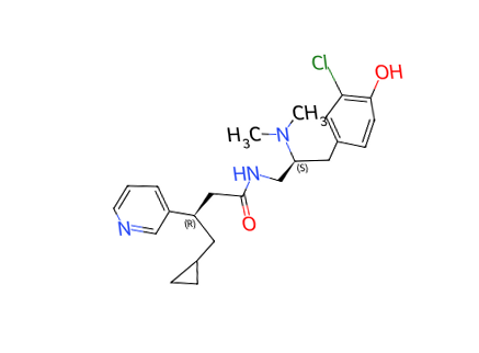 CN(C)[C@H](CNC(=O)C[C@@H](CC1CC1)c1cccnc1)Cc1ccc(O)c(Cl)c1